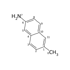 Cc1ccc2cc(N)ccc2c1